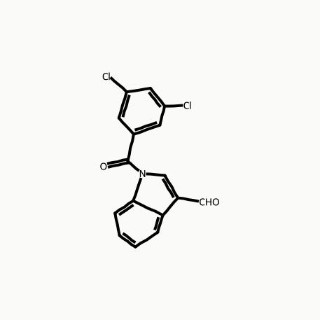 O=Cc1cn(C(=O)c2cc(Cl)cc(Cl)c2)c2ccccc12